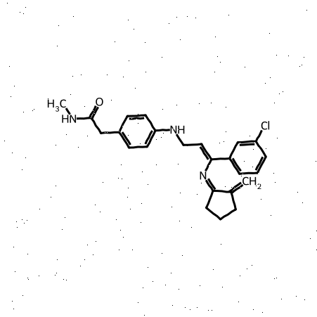 C=C1CCC/C1=N/C(=C\CNc1ccc(CC(=O)NC)cc1)c1cccc(Cl)c1